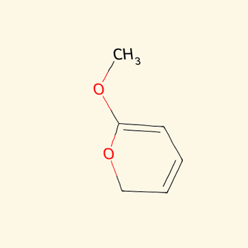 COC1=CC=CCO1